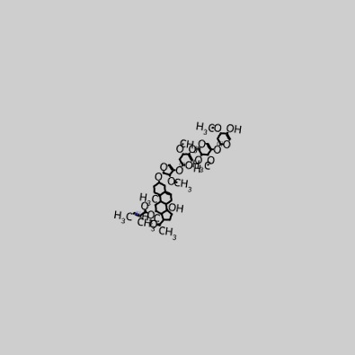 C/C=C(\C)C(=O)OC1CC2C(CC=C3CC(OC4OC=C(O[C@H]5CC(OC)C(O[C@@H]6OC=C(O[C@H]7CC(OC)C(O)=CO7)C(OC)C6O)=CO5)C4OC)CCC32C)C2(O)CCC(C(C)=O)C12C